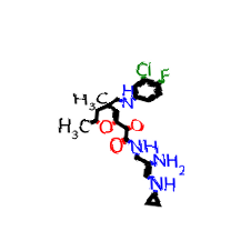 CC1CC(C)(CNc2ccc(F)c(Cl)c2)C=C(C(=O)C(=O)NC/C(N)=C/NC2CC2)O1